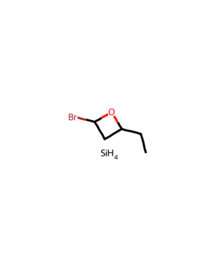 CCC1CC(Br)O1.[SiH4]